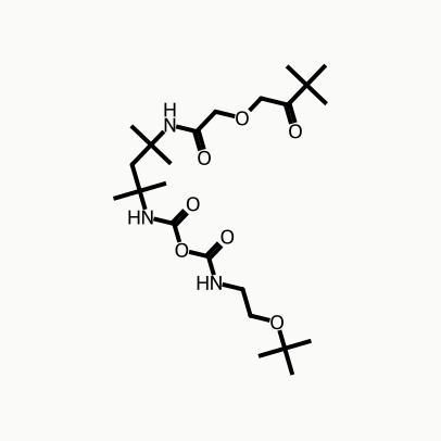 CC(C)(CC(C)(C)NC(=O)OC(=O)NCCOC(C)(C)C)NC(=O)COCC(=O)C(C)(C)C